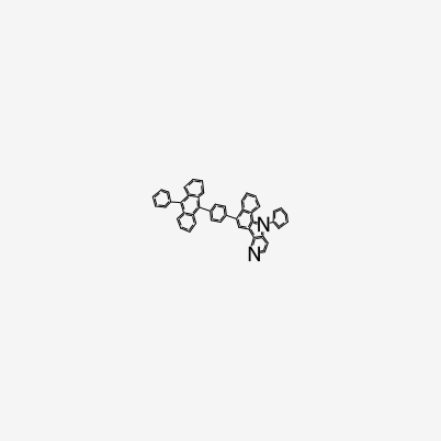 c1ccc(-c2c3ccccc3c(-c3ccc(-c4cc5c6cnccc6n(-c6ccccc6)c5c5ccccc45)cc3)c3ccccc23)cc1